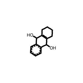 OC1C2=C(CCCC2)C(O)c2ccccc21